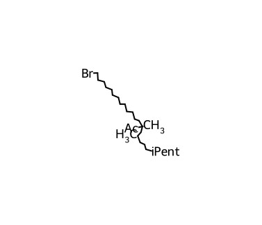 CCCC(C)CCCC(C)CC(C)(CCCCCCCCCCCCCBr)C(C)=O